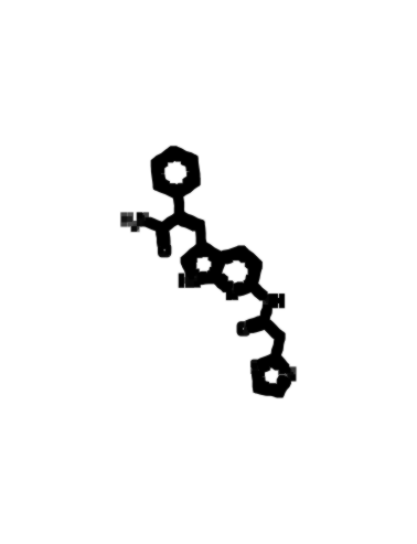 NC(=O)C(=Cc1c[nH]c2nc(NC(=O)Cc3nccs3)ccc12)c1ccccc1